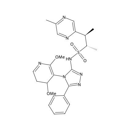 COC1=C(n2c(NS(=O)(=O)[C@@H](C)[C@H](C)c3cnc(C)cn3)nnc2-c2ccccc2)C(OC)CC=N1